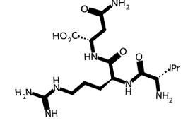 CC(C)[C@H](N)C(=O)N[C@@H](CCCNC(=N)N)C(=O)N[C@@H](CC(N)=O)C(=O)O